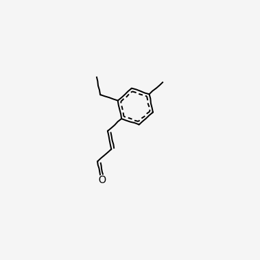 CCc1cc(C)ccc1C=CC=O